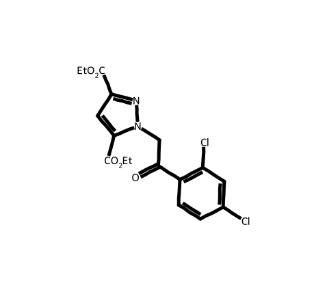 CCOC(=O)c1cc(C(=O)OCC)n(CC(=O)c2ccc(Cl)cc2Cl)n1